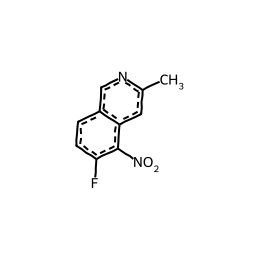 Cc1cc2c([N+](=O)[O-])c(F)ccc2cn1